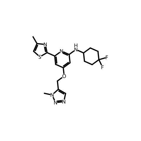 Cc1csc(-c2cc(OCc3cnnn3C)cc(NC3CCC(F)(F)CC3)n2)n1